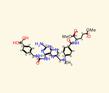 COC(=O)CCC(NC(=O)c1ccc(N(C)Cc2cnc3nc(N)nc(NC(=O)NCc4ccc(B(O)O)cc4)c3n2)cc1)C(=O)OC